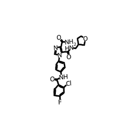 NC(=O)c1ncn(-c2ccc(NC(=O)c3ccc(F)cc3Cl)cc2)c1C(=O)NCC1CCOC1